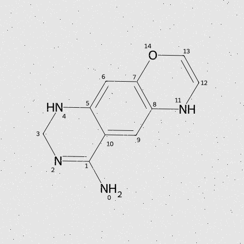 NC1=NCNc2cc3c(cc21)NC=CO3